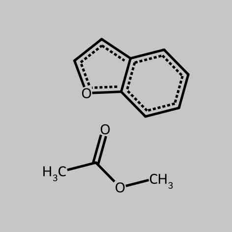 COC(C)=O.c1ccc2occc2c1